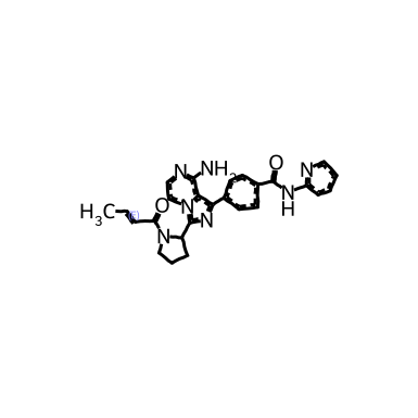 C/C=C/C(=O)N1CCCC1c1nc(-c2ccc(C(=O)Nc3ccccn3)cc2)c2c(N)nccn12